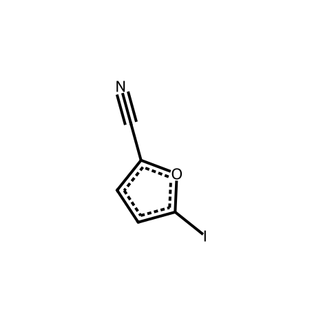 N#Cc1ccc(I)o1